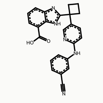 N#Cc1cccc(Nc2ccc(C3(c4nc5cccc(C(=O)O)c5[nH]4)CCC3)cn2)c1